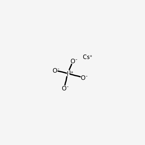 [Cs+].[O-][I+3]([O-])([O-])[O-]